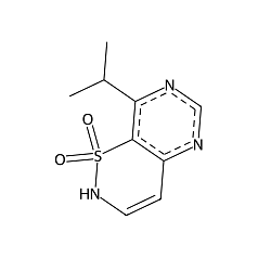 CC(C)c1ncnc2c1S(=O)(=O)NC=C2